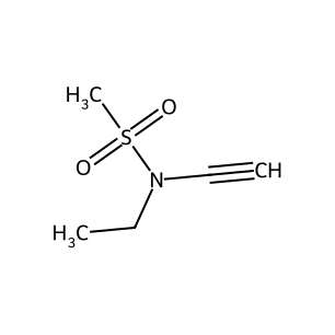 C#CN(CC)S(C)(=O)=O